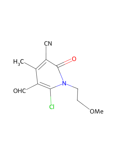 COCCn1c(Cl)c(C=O)c(C)c(C#N)c1=O